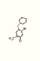 Cn1cc(Cc2ccccc2)c(Br)cc1=O